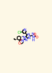 C=C[C@H]1CC[C@H](Cn2c(N3CCOCC3)nc3nc(-c4noc(=O)[nH]4)nc(-c4cncc(Cl)c4)c32)CC1